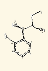 CCC(O)[C@H](O)c1ccccc1Cl